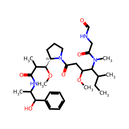 CCC(C)C(C(CC(=O)N1CCC[C@H]1C(OC)C(C)C(=O)NC(C)C(O)c1ccccc1)OC)N(C)C(=O)CNC=O